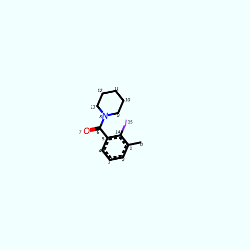 Cc1cccc(C(=O)N2CCCCC2)c1I